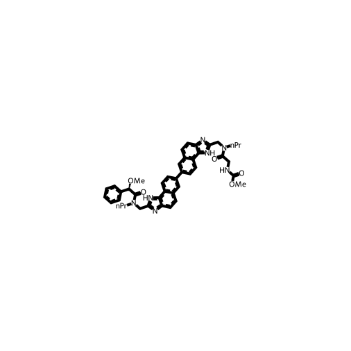 CCCN(Cc1nc2ccc3cc(-c4ccc5c(ccc6nc(CN(CCC)C(=O)[C@H](OC)c7ccccc7)[nH]c65)c4)ccc3c2[nH]1)C(=O)CNC(=O)OC